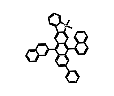 C[Si]1(C)c2ccccc2-c2cc3c(-c4ccc5ccccc5c4)c4ccc(-c5ccccc5)cc4c(-c4cccc5ccccc45)c3cc21